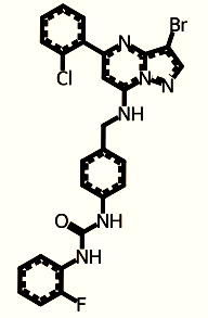 O=C(Nc1ccc(CNc2cc(-c3ccccc3Cl)nc3c(Br)cnn23)cc1)Nc1ccccc1F